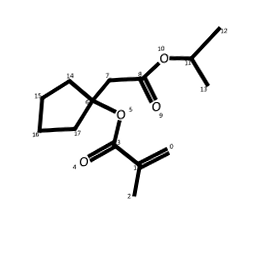 C=C(C)C(=O)OC1(CC(=O)OC(C)C)CCCC1